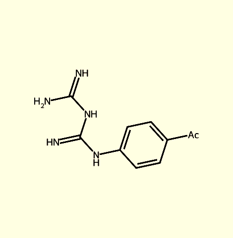 CC(=O)c1ccc(NC(=N)NC(=N)N)cc1